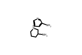 NC1CCCNC1.Nc1cccnc1